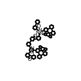 c1cc(-c2ccc3oc4c(-c5nc(-c6ccc7c(c6)C6(c8ccccc8-c8ccccc8-7)c7ccccc7-c7ccccc76)nc(-c6cccc7c6oc6ccccc67)n5)cccc4c3c2)cc(-c2cc(-c3cccc4oc5ccccc5c34)nc(-c3ccc4c(c3)-c3ccccc3-c3ccccc3C43c4ccccc4-c4ccccc43)n2)c1